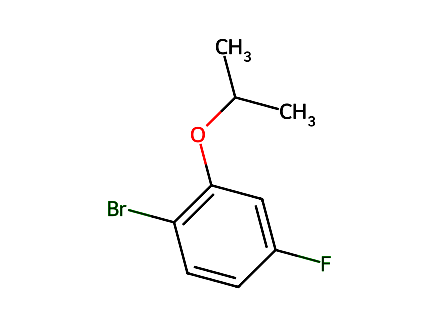 CC(C)Oc1cc(F)ccc1Br